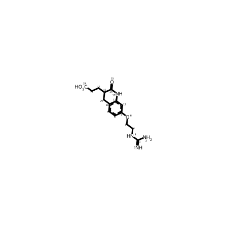 N=C(N)NCCOc1ccc2c(c1)NC(=O)C(CCC(=O)O)C2